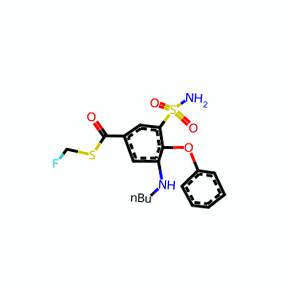 CCCCNc1cc(C(=O)SCF)cc(S(N)(=O)=O)c1Oc1ccccc1